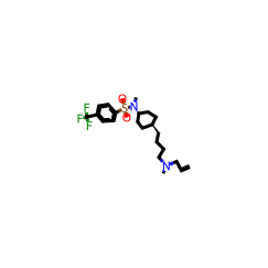 C=CCN(C)CCCC[C@H]1CC[C@H](N(C)S(=O)(=O)c2ccc(C(F)(F)F)cc2)CC1